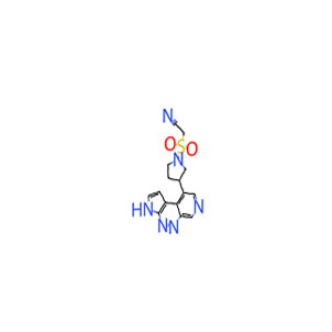 N#CCS(=O)(=O)N1CCC(c2cncc3nnc4[nH]ccc4c23)C1